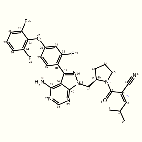 CC(C)/C=C(/C#N)C(=O)N1CCC[C@@H]1Cn1nc(-c2ccc(Oc3c(F)cccc3F)cc2F)c2c(N)ncnc21